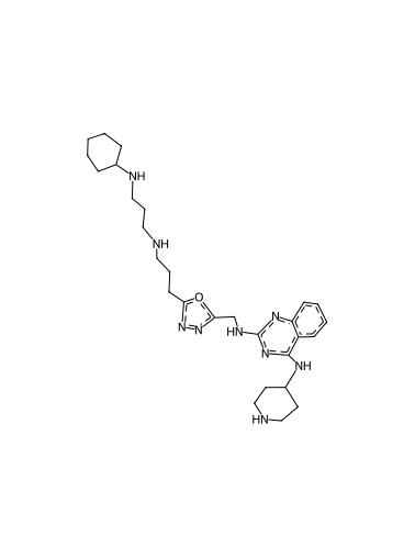 c1ccc2c(NC3CCNCC3)nc(NCc3nnc(CCCNCCCNC4CCCCC4)o3)nc2c1